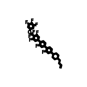 C=CCCC1CCC(c2ccc(-c3ccc(-c4cc(F)c(C(F)(F)Oc5cc(F)c(F)c(F)c5)c(F)c4)c(F)c3)c(F)c2)CC1